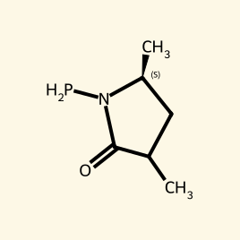 CC1C[C@H](C)N(P)C1=O